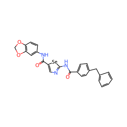 O=C(Nc1ncc(C(=O)Nc2ccc3c(c2)OCO3)[se]1)c1ccc(Cc2ccccc2)cc1